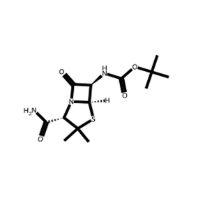 CC(C)(C)OC(=O)N[C@@H]1C(=O)N2[C@@H]1SC(C)(C)[C@@H]2C(N)=O